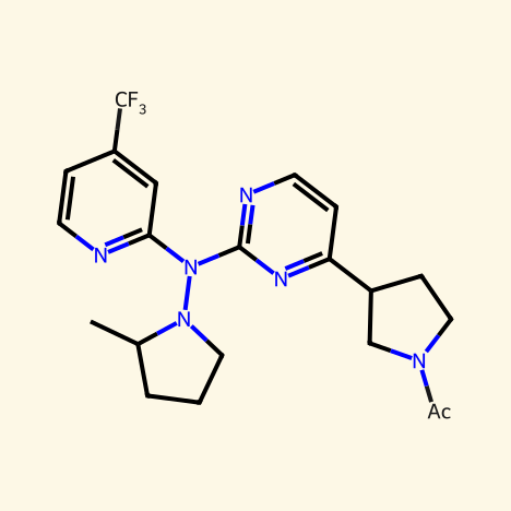 CC(=O)N1CCC(c2ccnc(N(c3cc(C(F)(F)F)ccn3)N3CCCC3C)n2)C1